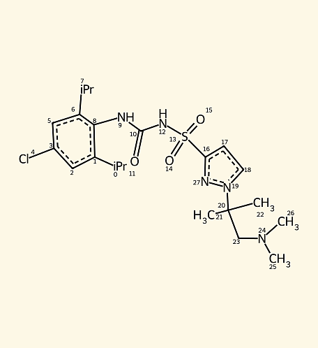 CC(C)c1cc(Cl)cc(C(C)C)c1NC(=O)NS(=O)(=O)c1ccn(C(C)(C)CN(C)C)n1